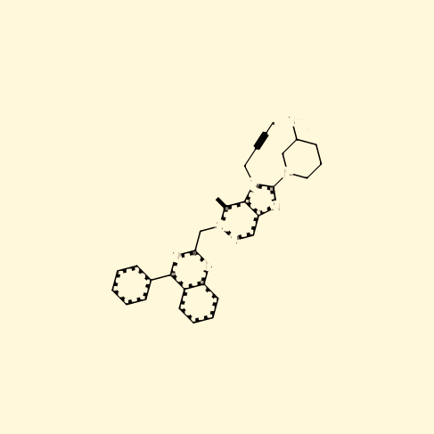 CC#CCn1c(N2CCCC(N)C2)nc2cnn(Cc3nc(-c4ccccc4)c4ccccc4n3)c(=O)c21